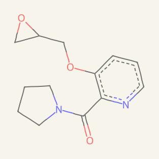 O=C(c1ncccc1OCC1CO1)N1CCCC1